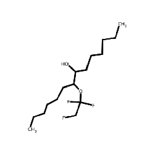 CCCCCCC(O)C(CCCCCC)OC(F)(F)CF